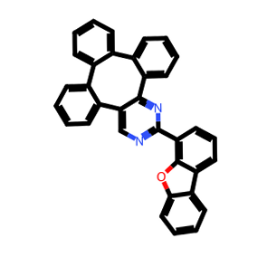 c1ccc2c(c1)-c1ccccc1-c1cnc(-c3cccc4c3oc3ccccc34)nc1-c1ccccc1-2